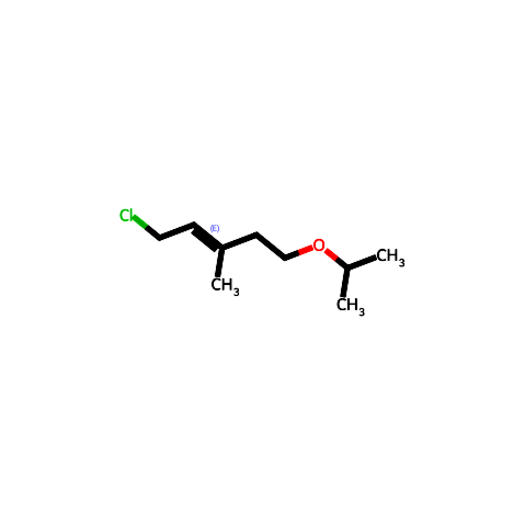 C/C(=C\CCl)CCOC(C)C